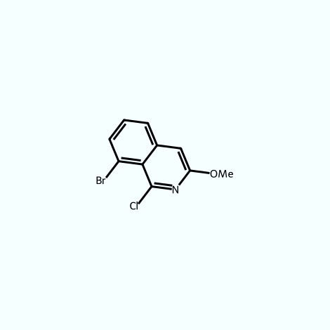 COc1cc2cccc(Br)c2c(Cl)n1